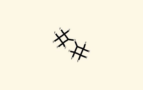 FC1(F)C(OC2C(F)(F)C(F)(F)C2(F)F)C(F)(F)C1(F)F